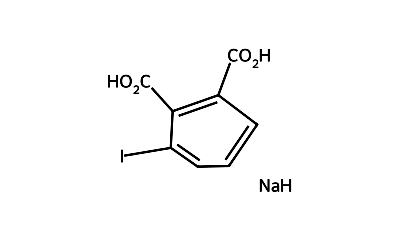 O=C(O)c1cccc(I)c1C(=O)O.[NaH]